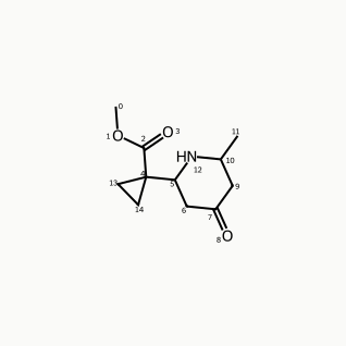 COC(=O)C1(C2CC(=O)CC(C)N2)CC1